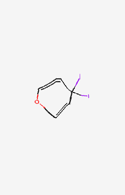 IC1(I)C=COC=C1